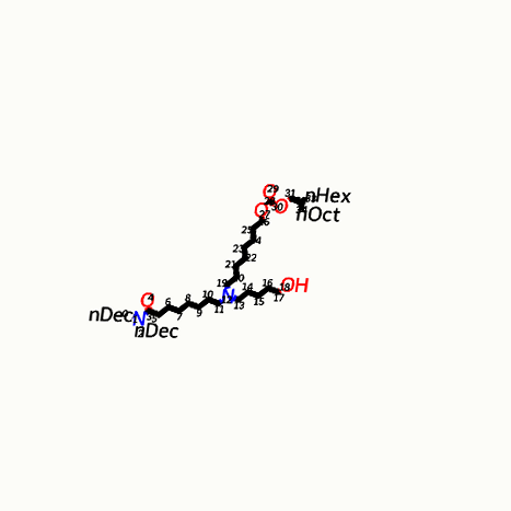 CCCCCCCCCCN(CCCCCCCCCC)C(=O)CCCCCCCN(CCCCCO)CCCCCCCCOC(=O)OCC(CCCCCC)CCCCCCCC